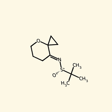 CC(C)(C)[S@+]([O-])N=C1CCCOC12CC2